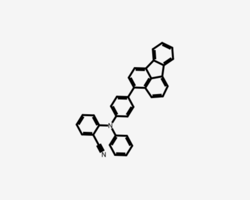 N#Cc1ccccc1N(c1ccccc1)c1ccc(-c2ccc3c4c(cccc24)-c2ccccc2-3)cc1